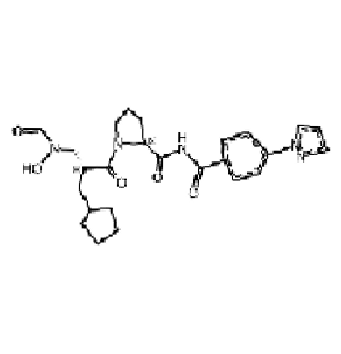 O=CN(O)C[C@@H](CC1CCCC1)C(=O)N1CCC[C@H]1C(=O)NC(=O)c1ccc(-n2cccn2)cc1